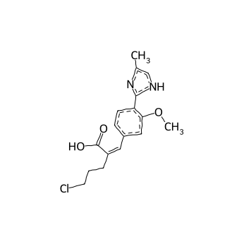 COc1cc(C=C(CCCCl)C(=O)O)ccc1-c1nc(C)c[nH]1